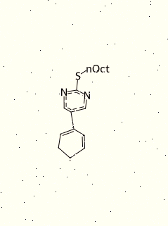 CCCCCCCCSc1ncc(C2=CC[CH]C=C2)cn1